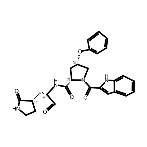 O=C[C@H](C[C@@H]1CCNC1=O)NC(=O)[C@@H]1C[C@H](Oc2ccccc2)CN1C(=O)c1cc2ccccc2[nH]1